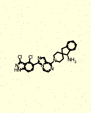 N[C@@H]1c2ccccc2CC12CCN(c1nccn3c(-c4ccc5[nH]nc(Cl)c5c4Cl)ncc13)CC2